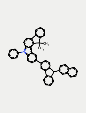 CC1(C)c2ccccc2-c2ccc3c(c21)c1cc(-c2ccc4c(c2)-c2ccccc2C4c2ccc4ccccc4c2)ccc1n3-c1ccccc1